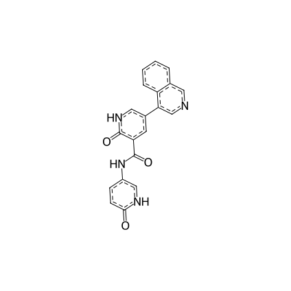 O=C(Nc1ccc(=O)[nH]c1)c1cc(-c2cncc3ccccc23)c[nH]c1=O